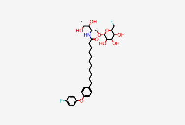 C[C@@H](O)[C@@H](O)[C@H](CO[C@H]1OC(CF)[C@@H](O)C(O)C1O)NC(=O)CCCCCCCCCCc1ccc(Oc2ccc(F)cc2)cc1